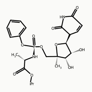 CC(C)OC(=O)[C@H](C)N[P@@](=O)(OC[C@@]1(C)O[C@@H](C2C=CC(=O)NC2=O)[C@H](O)[C@@H]1O)Oc1ccccc1